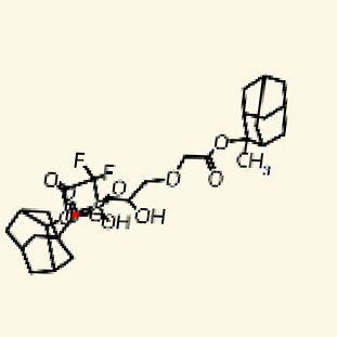 CC1(OC(=O)COCC(O)COC(=O)C23CC4CC(C2)C(OC(=O)C(F)(F)S(=O)(=O)O)C(C4)C3)C2CC3CC(C2)CC1C3